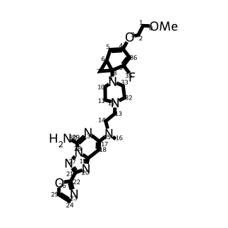 COCCOC1=CC2CC2(N2CCN(CCN(C)c3cc4nc(-c5ncco5)nn4c(N)n3)CC2)C(F)=C1